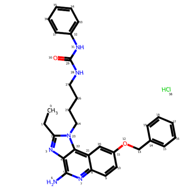 CCc1nc2c(N)nc3ccc(OCc4ccccc4)cc3c2n1CCCCNC(=O)Nc1ccccc1.Cl